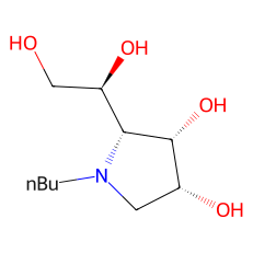 CCCCN1C[C@@H](O)[C@@H](O)[C@H]1[C@H](O)CO